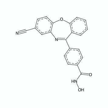 N#Cc1ccc2c(c1)N=C(c1ccc(C(=O)NO)cc1)c1ccccc1O2